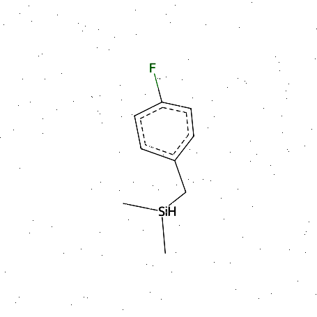 C[SiH](C)Cc1ccc(F)cc1